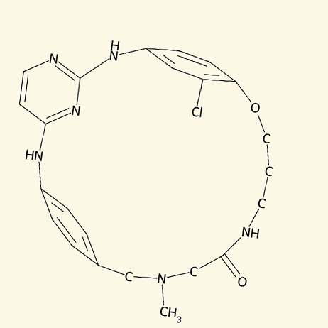 CN1CC(=O)NCCCOc2ccc(cc2Cl)Nc2nccc(n2)Nc2ccc(cc2)C1